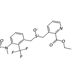 CCOC(=O)c1ncccc1C[S+]([O-])Cc1cccc(N(C)S(C)(=O)=O)c1C(F)(F)F